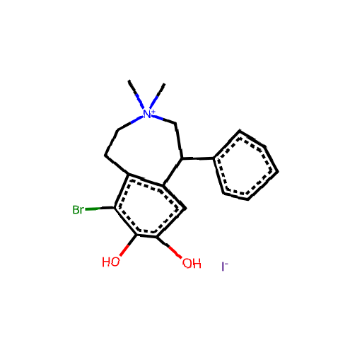 C[N+]1(C)CCc2c(cc(O)c(O)c2Br)C(c2ccccc2)C1.[I-]